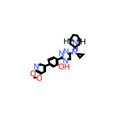 Oc1cc(-c2cnc3c(c2)OCO3)ccc1-c1ncc(N(C2CC2)[C@@H]2C[C@H]3CC[C@@H](C2)N3)nn1